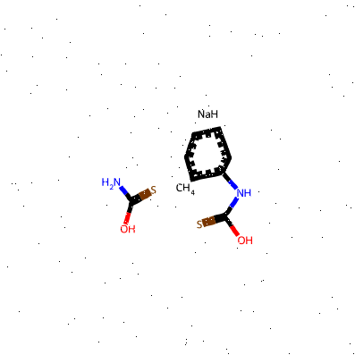 C.NC(O)=S.OC(=S)Nc1ccccc1.[NaH]